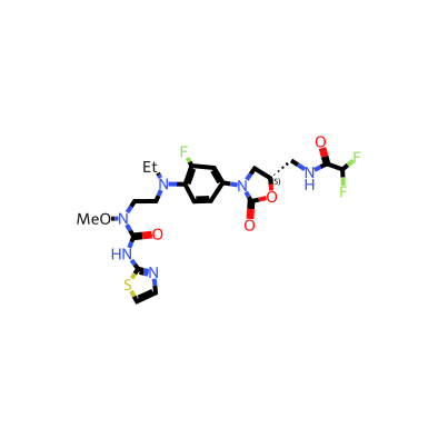 CCN(CCN(OC)C(=O)Nc1nccs1)c1ccc(N2C[C@H](CNC(=O)C(F)F)OC2=O)cc1F